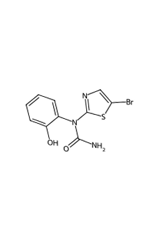 NC(=O)N(c1ncc(Br)s1)c1ccccc1O